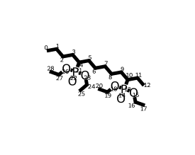 CCCCC(CCCCCC(CC)P(=O)(OCC)OCC)P(=O)(OCC)OCC